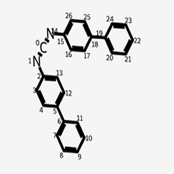 C(=Nc1ccc(-c2ccccc2)cc1)=Nc1ccc(-c2ccccc2)cc1